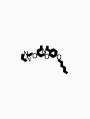 CCCCCCOc1ccc(C(C)n2c(C)cc(OCc3ncccn3)cc2=O)cc1